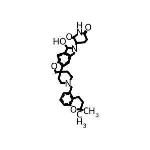 CC1(C)CCc2c(CN3CCC4(CC3)COc3cc5c(cc34)CN(C3CCC(=O)NC3=O)C5O)cccc2O1